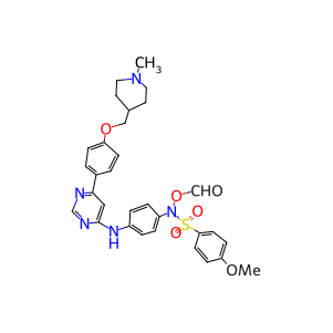 COc1ccc(S(=O)(=O)N(OC=O)c2ccc(Nc3cc(-c4ccc(OCC5CCN(C)CC5)cc4)ncn3)cc2)cc1